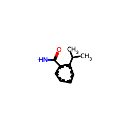 CC(C)c1ccccc1C([NH])=O